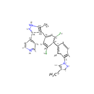 Cc1cnn(-c2cccc(-c3c(F)cc(-c4c(-c5ccncc5)n[nH]c4C)cc3F)c2)c1